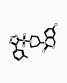 Cc1cccc(-c2nsnc2S(=O)(=O)N2CCC(N3C(=O)OCc4cc(Cl)ccc43)CC2)c1